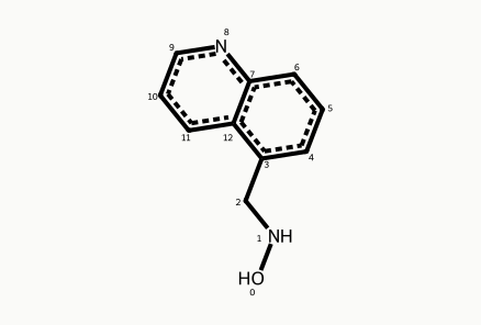 ONCc1cccc2ncccc12